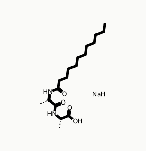 CCCCCCCCCCCC(=O)N[C@@H](C)C(=O)N[C@@H](C)C(=O)O.[NaH]